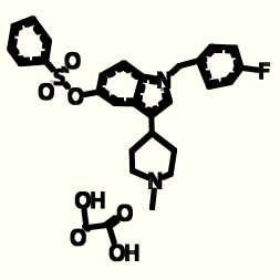 CN1CCC(c2cn(Cc3ccc(F)cc3)c3ccc(OS(=O)(=O)c4ccccc4)cc23)CC1.O=C(O)C(=O)O